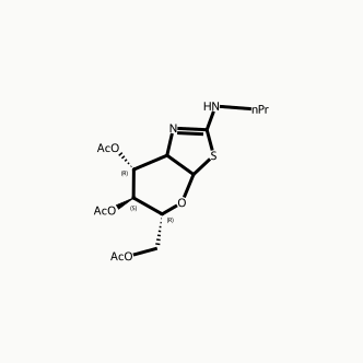 CCCNC1=NC2C(O[C@H](COC(C)=O)[C@@H](OC(C)=O)[C@@H]2OC(C)=O)S1